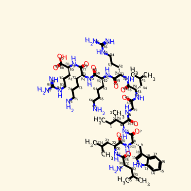 CC[C@H](C)[C@H](NC(=O)[C@H](Cc1c[nH]c2ccccc12)NC(=O)[C@H](CC(C)C)NC(=O)[C@@H](N)CC(C)C)C(=O)NCC(=O)N[C@@H](CC(C)C)C(=O)N[C@@H](CCCNC(=N)N)C(=O)N[C@@H](CCCCN)C(=O)N[C@@H](CCCCN)C(=O)N[C@@H](CCCNC(=N)N)C(=O)O